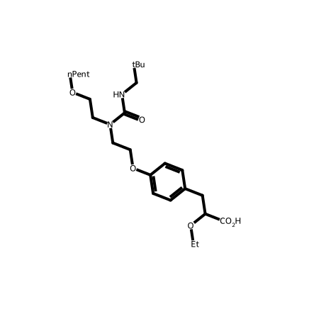 CCCCCOCCN(CCOc1ccc(CC(OCC)C(=O)O)cc1)C(=O)NCC(C)(C)C